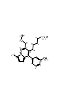 CCc1ccc2c(-c3cncc(C)c3)c(CCCCC(=O)O)c(COC(C)C)nn12